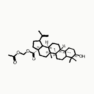 C=C(C)C1CC[C@]2(C(=O)OCOC(C)=O)CC[C@]3(C)[C@H](CC[C@@H]4[C@@]5(C)CC[C@@H](O)C(C)(C)C5CC[C@]43C)C12